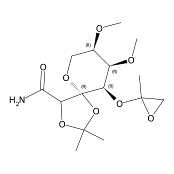 CO[C@H]1[C@@H](OC2(C)CO2)[C@@]2(OC[C@H]1OC)OC(C)(C)OC2C(N)=O